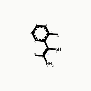 C/C(N)=C(/S)c1ccccc1C